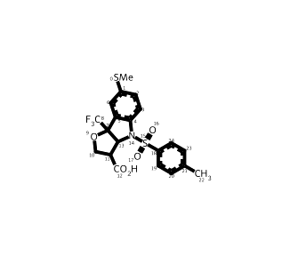 CSc1ccc2c(c1)C1(C(F)(F)F)OCC(C(=O)O)C1N2S(=O)(=O)c1ccc(C)cc1